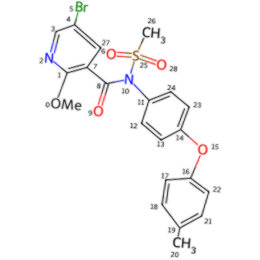 COc1ncc(Br)cc1C(=O)N(c1ccc(Oc2ccc(C)cc2)cc1)S(C)(=O)=O